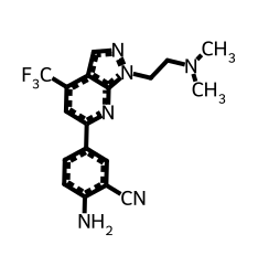 CN(C)CCn1ncc2c(C(F)(F)F)cc(-c3ccc(N)c(C#N)c3)nc21